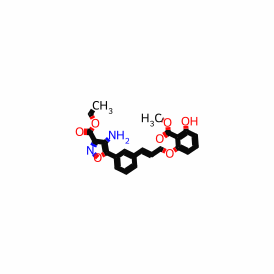 CCOC(=O)c1noc(-c2cccc(C=CCOc3cccc(O)c3C(=O)OC)c2)c1N